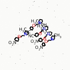 CC1CCCC(C)N1CCCOc1ccc(C#N)cc1.CC1CCCCN1CCCOc1ccc(C#N)cc1.CC1CCCCN1CCCOc1ccc([N+](=O)[O-])cc1.CC1CCCN(CCCOc2ccc([N+](=O)[O-])cc2)C1.CC1CCN(CCCOc2ccc([N+](=O)[O-])cc2)CC1